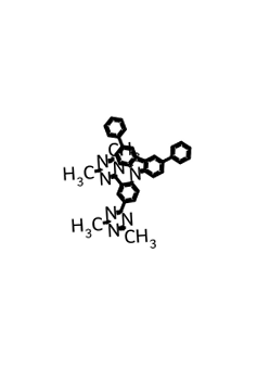 Cc1nc(C)nc(-c2ccc(-n3c4ccc(-c5ccccc5)cc4c4cc(-c5ccccc5)ccc43)c(-c3nc(C)nc(C)n3)c2)n1